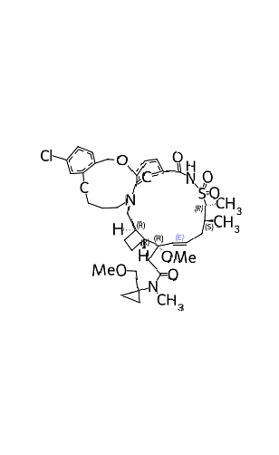 COCC1(N(C)C(=O)C[C@]2(OC)/C=C/C[C@H](C)[C@@H](C)S(=O)(=O)NC(=O)c3ccc4c(c3)N(CCCCc3cc(Cl)ccc3CO4)C[C@@H]3CC[C@H]32)CC1